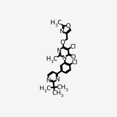 Cc1nc(COc2nc(C)n(-c3cc(-c4ccnc(C(C)(C)C)n4)ccc3Cl)c(=O)c2Cl)co1